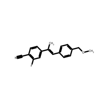 COCc1ccc(/C=C(\C)c2ccc(C#N)c(F)c2)cc1